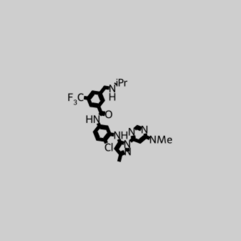 CNc1cc(-n2nc(C)cc2Nc2cc(NC(=O)c3cc(CNC(C)C)cc(C(F)(F)F)c3)ccc2Cl)ncn1